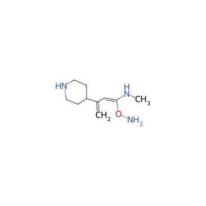 C=C(/C=C(/NC)ON)C1CCNCC1